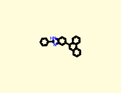 c1ccc(-c2nc3cc(-c4cc5ccccc5c5ccccc45)ccc3[nH]2)cc1